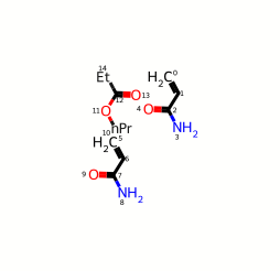 C=CC(N)=O.C=CC(N)=O.CCCOC(=O)CC